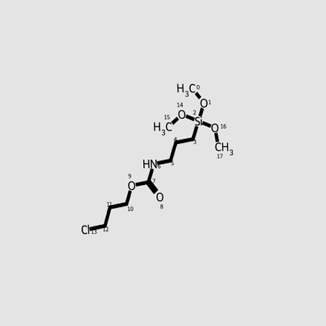 CO[Si](CCCNC(=O)OCCCCl)(OC)OC